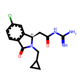 N=C(N)NC(=O)C[C@@H]1c2cc(Cl)ccc2C(=O)N1CC1CC1